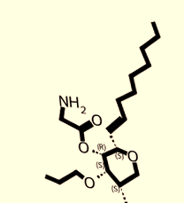 CCCCCCCC=C[C@@H]1OC[C@H](C)[C@H](OCCC)[C@@H]1OC(=O)CN